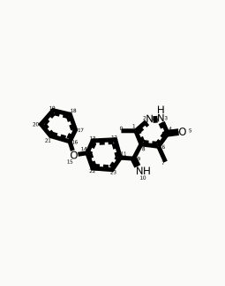 Cc1n[nH]c(=O)c(C)c1C(=N)c1ccc(Oc2ccccc2)cc1